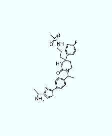 CC(N)c1ccc(-c2ccc(C(C)N3CCC(CCCNS(C)(=O)=O)(c4ccc(F)cc4)NC3=O)cc2)s1